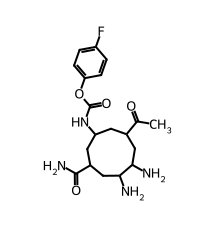 CC(=O)C1CC(NC(=O)Oc2ccc(F)cc2)CC(C(N)=O)CC(N)C(N)C1